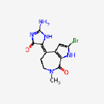 CN1CC/C(=C2/NC(N)=NC2=O)c2cc(Br)[nH]c2C1=O